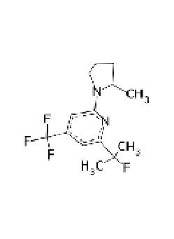 CC1CCCN1c1cc(C(F)(F)F)cc(C(C)(C)F)n1